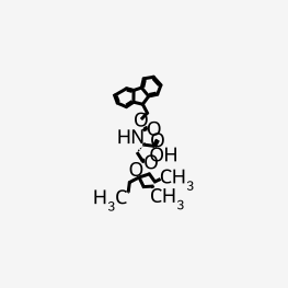 CCCC(CCC)(CCC)OC(=O)C[C@H](NC(=O)OCC1c2ccccc2-c2ccccc21)C(=O)O